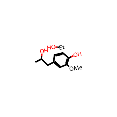 CCO.COc1cc(CC(C)O)ccc1O